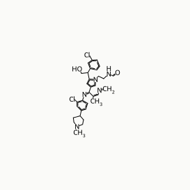 C=N/C=C(C)\C(=N/c1ccc(C2CCN(C)CC2)cc1Cl)c1cc(C(CO)c2cccc(Cl)c2)n(CCNC=O)c1